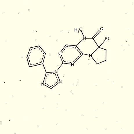 CCC12CCCN1c1nc(-n3ncnc3-c3ccccc3)ncc1N(C)C2=O